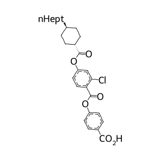 CCCCCCC[C@H]1CC[C@H](C(=O)Oc2ccc(C(=O)Oc3ccc(C(=O)O)cc3)c(Cl)c2)CC1